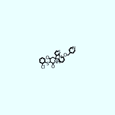 O=C1CC(c2ccsc2)(c2cccc(OCc3ccncc3)n2)NC(=O)C1Sc1ccccc1Cl